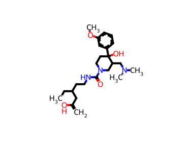 C=C(O)CC(CC)CCNC(=O)N1CCC(O)(c2cccc(OC)c2)C(CN(C)C)C1